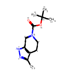 Cc1n[nH]c2c1CCN(C(=O)OC(C)(C)C)C2